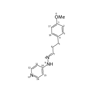 COc1ccc(CCC=NNc2ccncc2)cc1